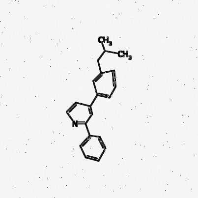 CC(C)Cc1cccc(-c2ccnc(-c3ccccc3)c2)c1